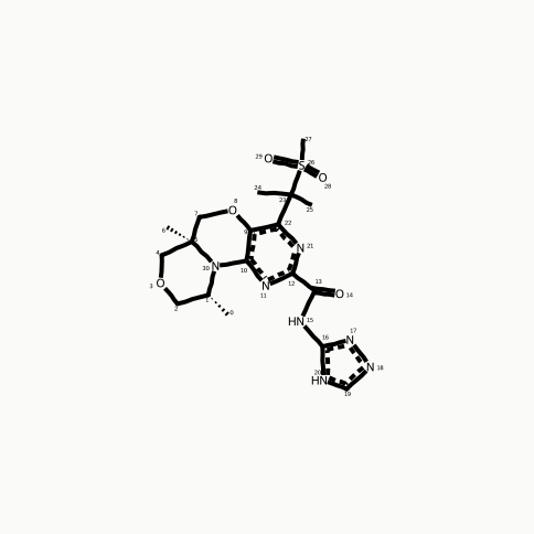 C[C@@H]1COC[C@@]2(C)COc3c(nc(C(=O)Nc4nnc[nH]4)nc3C(C)(C)S(C)(=O)=O)N12